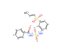 N#CC=CS(=O)(=O)c1cccc(NS(=O)(=O)NC(=O)c2ccccc2)c1